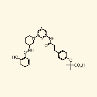 CC(C)(Oc1ccc(CCC(=O)Nc2cncc(N3CCCC(NOC4=C(O)CCC=C4)C3)n2)cc1)C(=O)O